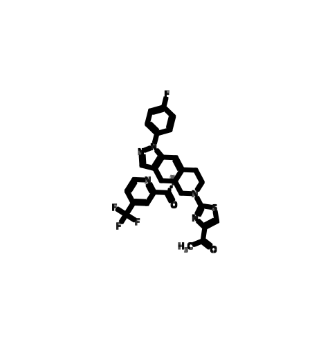 CC(=O)c1csc(N2CCC3=Cc4c(cnn4-c4ccc(F)cc4)C[C@]3(C(=O)c3cc(C(F)(F)F)ccn3)C2)n1